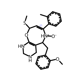 COc1ccccc1CC1C2=C(NCNC2)OC(SC)/C=C(/c2ccccc2C)[NH+]1[O-]